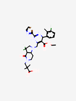 CCOC(=O)C1=C(CN2CC(F)(F)C3C(=O)N(CC(C)(C)C(=O)O)CCC32)NC(c2nccs2)=NC1c1cccc(F)c1C